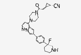 N#C[C@H]1C/C1=C\C(=O)N1CCN(c2ccnn3cc(-c4ccc(C5(F)CCCNC5)cc4)cc23)CC1